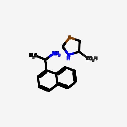 CC(N)c1cccc2ccccc12.O=C(O)C1CSCN1